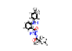 CC(C)(C#N)C(=O)NNC(=O)c1ccccc1Nc1ccc(C(F)(F)F)cc1